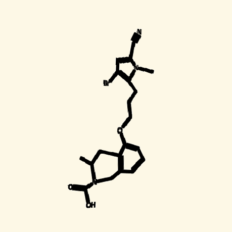 CC1Cc2c(cccc2OCCCc2c(Br)cc(C#N)n2C)CN1C(=O)O